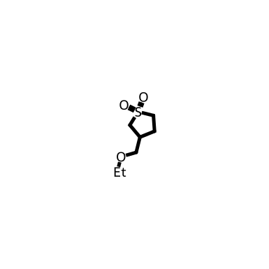 CCOCC1CCS(=O)(=O)C1